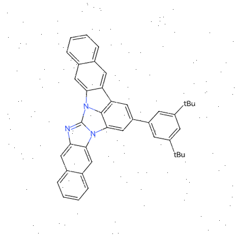 CC(C)(C)c1cc(-c2cc3c4cc5ccccc5cc4n4c3c(c2)n2c3cc5ccccc5cc3nc24)cc(C(C)(C)C)c1